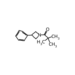 CC(C)(C)C(=O)N1CC(c2ccccc2)C1